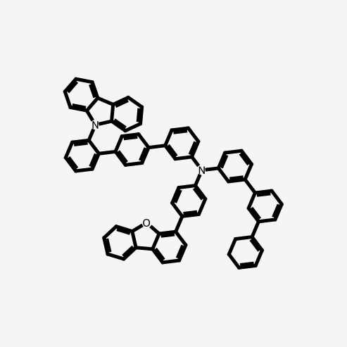 C1=CCCC(c2cccc(-c3cccc(N(c4ccc(-c5cccc6c5oc5ccccc56)cc4)c4cccc(-c5ccc(-c6ccccc6-n6c7ccccc7c7ccccc76)cc5)c4)c3)c2)=C1